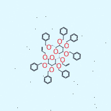 C=CCOC([C@H]1O[C@H](OCC=C)[C@@H](OCc2ccccc2)[C@@H](OCc2ccccc2)[C@@H]1OCc1ccccc1)[C@@H]1O[C@H](COCc2ccccc2)[C@@H](OCc2ccccc2)[C@H](OCc2ccccc2)[C@@H]1OCc1ccccc1